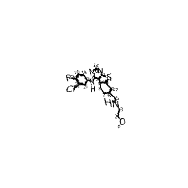 COCCNCC1CCc2c(sc3ncnc(Nc4ccc(F)c(Cl)c4)c23)C1